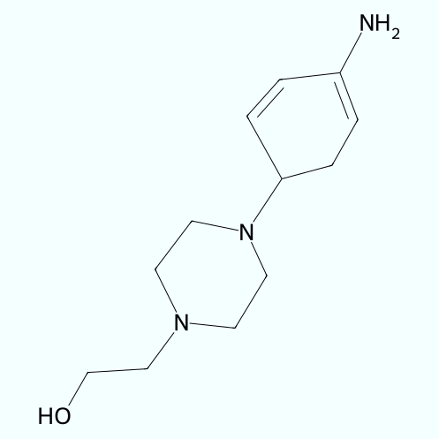 NC1=CCC(N2CCN(CCO)CC2)C=C1